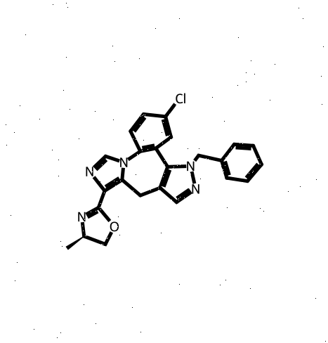 C[C@@H]1COC(c2ncn3c2Cc2cnn(Cc4ccccc4)c2-c2cc(Cl)ccc2-3)=N1